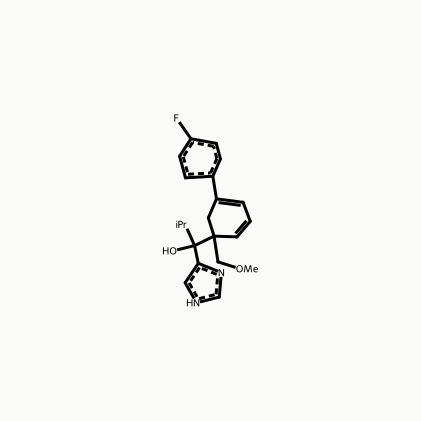 COCC1(C(O)(c2c[nH]cn2)C(C)C)C=CC=C(c2ccc(F)cc2)C1